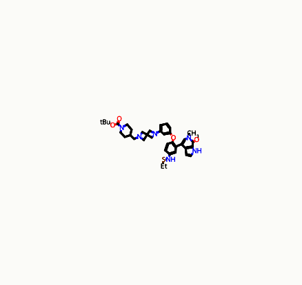 CCSNc1ccc(Oc2cccc(N3CC4(CN(CC5CCN(C(=O)OC(C)(C)C)CC5)C4)C3)c2)c(-c2cn(C)c(=O)c3[nH]ccc23)c1